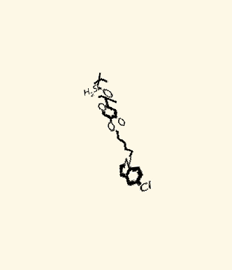 CC(C)(C)[SiH2]OC(C)(C)c1cc(=O)c(OCCCCCn2ccc3cc(Cl)ccc32)co1